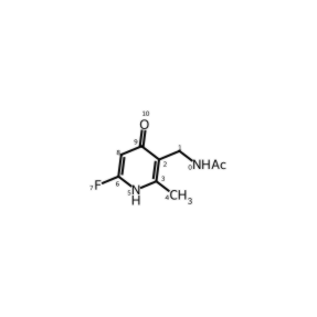 CC(=O)NCc1c(C)[nH]c(F)cc1=O